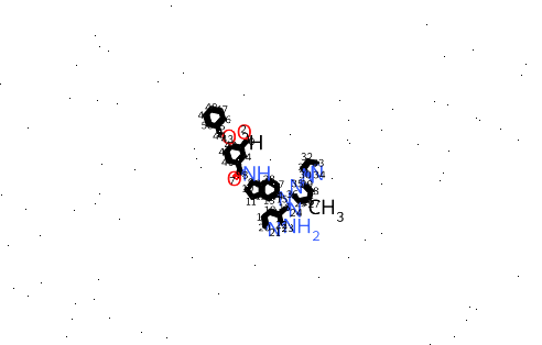 [2H]C(=O)c1cc(C(=O)N[C@H]2CCc3cc(-n4c(-c5cccnc5N)nc5c(C)cc(-n6cccn6)nc54)ccc32)ccc1OCc1ccccc1